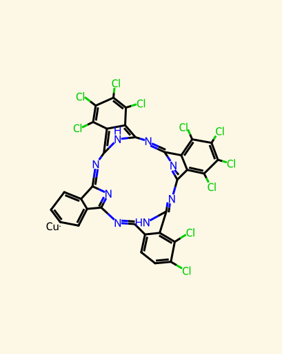 Clc1ccc2c3nc4nc(nc5[nH]c(nc6nc(nc([nH]3)c2c1Cl)-c1c(Cl)c(Cl)c(Cl)c(Cl)c1-6)c1c(Cl)c(Cl)c(Cl)c(Cl)c51)-c1ccccc1-4.[Cu]